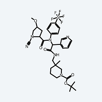 COC1CC(C(=O)N(c2ccc(S(F)(F)(F)(F)F)cc2)C(C(=O)NCC2(C)CCCN(C(=O)OC(C)(C)C)C2)c2cccnc2)N(C#N)C1